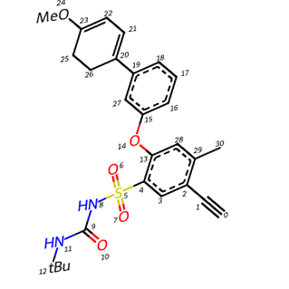 C#Cc1cc(S(=O)(=O)NC(=O)NC(C)(C)C)c(Oc2cccc(C3=CC=C(OC)CC3)c2)cc1C